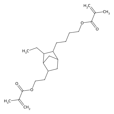 C=C(C)C(=O)OCCCCC1C2CC(CCOC(=O)C(=C)C)C(C2)C1CC